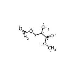 COC(=O)C(C)CO[PH2]=O